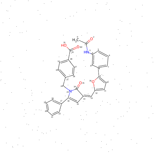 CC(=O)Nc1cccc(-c2ccc(C=C3C=C(c4ccccc4)N(Cc4ccc(C(=O)O)cc4)C3=O)o2)c1